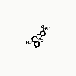 Cc1cc([N+](=O)[O-])ccc1C(=O)N1CCCC(O)c2cc(F)ccc21